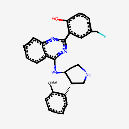 COc1ccccc1[C@H]1CNC[C@@H]1Nc1nc(-c2cc(F)ccc2O)nc2ccccc12